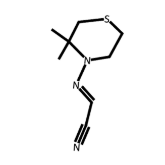 CC1(C)CSCCN1N=CC#N